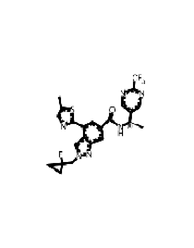 Cc1cnc(-c2cc(C(=O)N[C@H](C)c3cnc(C(F)(F)F)nc3)cc3nn(CC4(F)CC4)cc23)s1